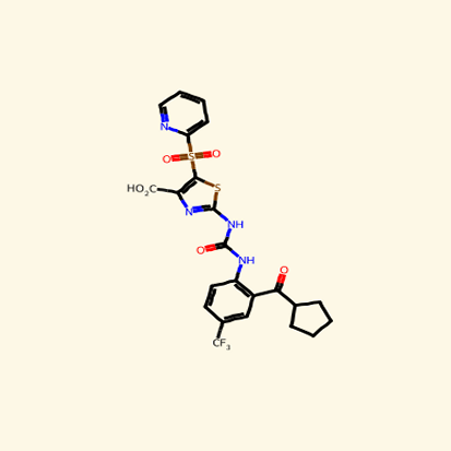 O=C(Nc1nc(C(=O)O)c(S(=O)(=O)c2ccccn2)s1)Nc1ccc(C(F)(F)F)cc1C(=O)C1CCCC1